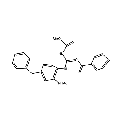 COC(=O)N/C(=N/C(=O)c1ccccc1)Nc1ccc(Oc2ccccc2)cc1NC(C)=O